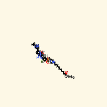 COC(=O)CCCCCCCCCCN1CCN(S(=O)(=O)c2ccc(Nc3nc4ccc(-c5cnn(C6CC6)c5)cn4c(=O)c3C)c(F)c2)CC1